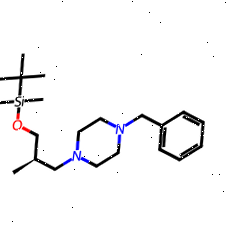 C[C@@H](CO[Si](C)(C)C(C)(C)C)CN1CCN(Cc2ccccc2)CC1